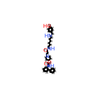 O=C(CCN1CCC(OC(=O)Nc2ccccc2-c2ccccc2)CC1)NCCCCCCNCc1ccc(O)cc1